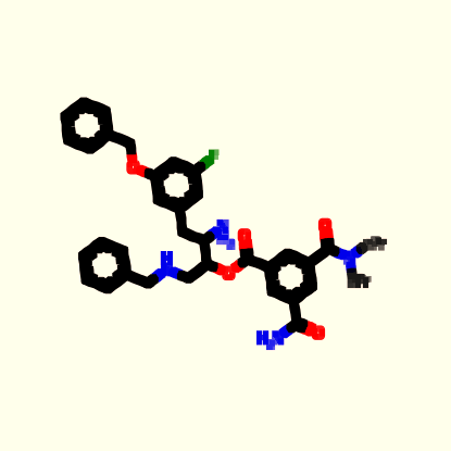 CCCN(CCC)C(=O)c1cc(C(N)=O)cc(C(=O)OC(CNCc2ccccc2)C(N)Cc2cc(F)cc(OCc3ccccc3)c2)c1